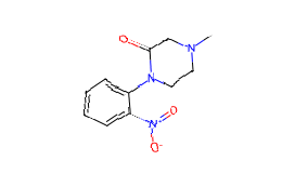 CN1CCN(c2ccccc2[N+](=O)[O-])C(=O)C1